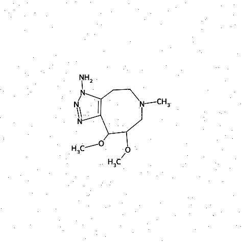 COC1CN(C)CCc2c(nnn2N)C1OC